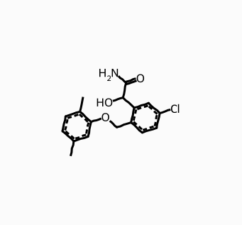 Cc1ccc(C)c(OCc2ccc(Cl)cc2C(O)C(N)=O)c1